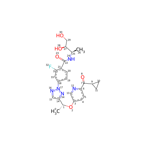 C[C@@H](Oc1ccc(C(=O)C2CC2)nc1)c1cnn(-c2ccc(C(=O)N[C@H](C)[C@@H](O)CO)c(F)c2)n1